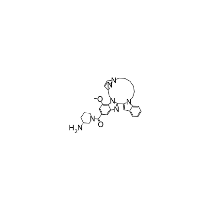 COc1cc(C(=O)N2CCC[C@@H](N)C2)cc2nc3n(c12)Cc1ccn(n1)CCCCCCn1c-3cc2ccccc21